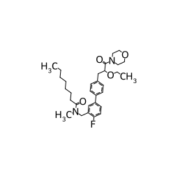 CCCCCCCC(=O)N(C)Cc1cc(-c2ccc(CC(OCC)C(=O)N3CCOCC3)cc2)ccc1F